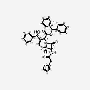 O=C(Cc1cccs1)NC1C(=O)N2C(C(=O)OC(c3ccccc3)c3ccccc3)C(C(O)c3ccccc3)=CS[C@@H]12